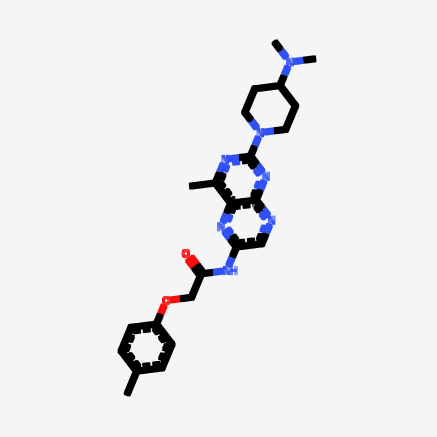 Cc1ccc(OCC(=O)Nc2cnc3nc(N4CCC(N(C)C)CC4)nc(C)c3n2)cc1